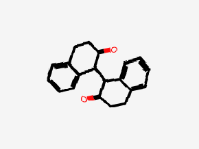 O=C1CCc2ccccc2C1C1C(=O)CCc2ccccc21